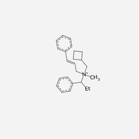 CCC(c1ccccc1)[N+](C)(CC=Cc1ccccc1)CC1CCC1